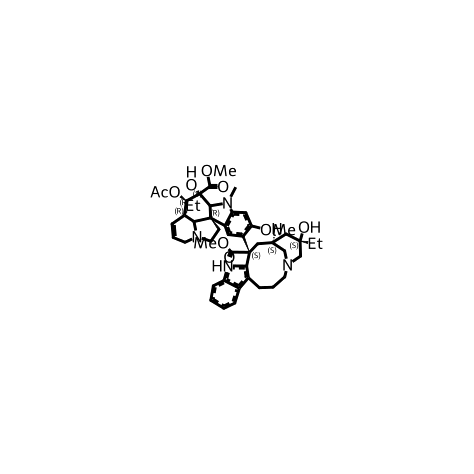 CC[C@]1(O)C[C@H]2CN(CCCc3c([nH]c4ccccc34)[C@@](C(=O)OC)(c3cc4c(cc3OC)N(C)C3[C@]45CCN4CC=C[C@](CC)(C45)[C@@H](OC(C)=O)[C@]3(O)C(=O)OC)C2)C1